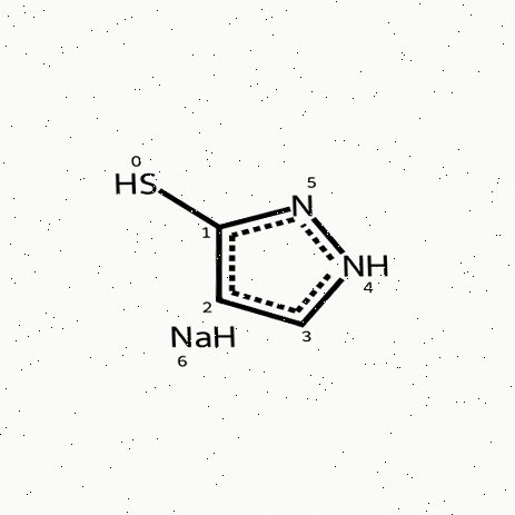 Sc1cc[nH]n1.[NaH]